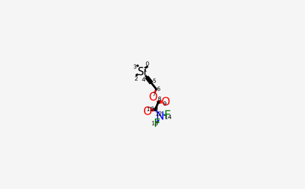 C[Si](C)(C)C#CCOC(=O)C(=O)N(F)F